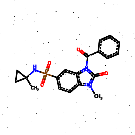 Cn1c(=O)n(C(=O)c2ccccc2)c2cc(S(=O)(=O)NC3(C)CC3)ccc21